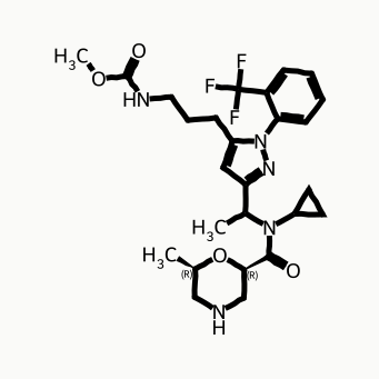 COC(=O)NCCCc1cc(C(C)N(C(=O)[C@H]2CNC[C@@H](C)O2)C2CC2)nn1-c1ccccc1C(F)(F)F